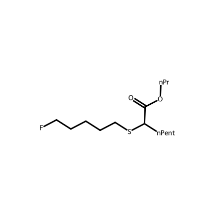 CCCCCC(SCCCCCF)C(=O)OCCC